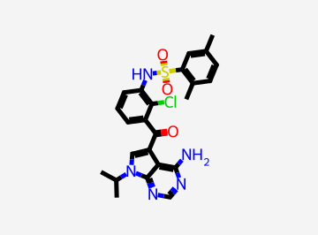 Cc1ccc(C)c(S(=O)(=O)Nc2cccc(C(=O)c3cn(C(C)C)c4ncnc(N)c34)c2Cl)c1